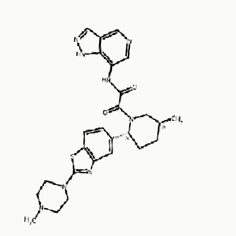 C[C@H]1CC[C@H](c2ccc3sc(N4CCN(C)CC4)nc3c2)N(C(=O)C(=O)Nc2cncc3cn[nH]c23)C1